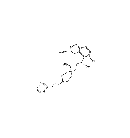 COc1ccc2ncc(Cl)c([C@H](O)CCC3(CO)CCN(CCCc4cnccn4)CC3)c2c1